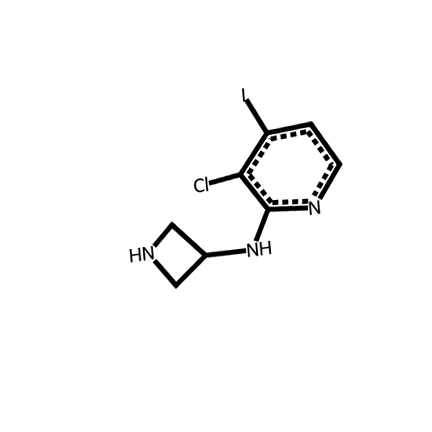 Clc1c(I)ccnc1NC1CNC1